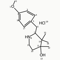 COc1ccc(CC2NCCC(C)(O)C2(C)C)cc1.Cl